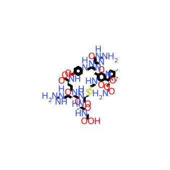 CO[C@@]12[C@H](COC(N)=O)C3=C(C(=O)C(C)=C(NCCSSC[C@H](NC(=O)[C@H](CCCNC(=N)N)NC(=O)CC[C@H](NC(=O)c4ccc(NCc5cnc6nc(N)[nH]c(=O)c6n5)cc4)C(=O)O)C(=O)N[C@@H](C)C(=O)NCC(=O)O)C3=O)N1C[C@H](C)[C@@H]2C